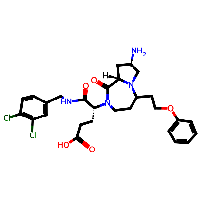 N[C@@H]1C[C@H]2C(=O)N([C@H](CCC(=O)O)C(=O)NCc3ccc(Cl)c(Cl)c3)CCC(CCOc3ccccc3)N2C1